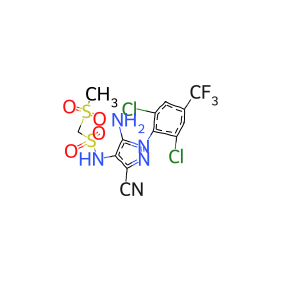 CS(=O)(=O)CS(=O)(=O)Nc1c(C#N)nn(-c2c(Cl)cc(C(F)(F)F)cc2Cl)c1N